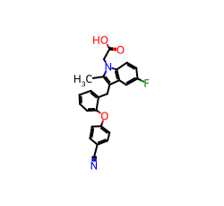 Cc1c(Cc2ccccc2Oc2ccc(C#N)cc2)c2cc(F)ccc2n1CC(=O)O